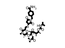 CC(C)NC(=O)O[C@@H](C)[C@@H](C)[C@@H]1O[C@@]1(C)[C@H](CC(=O)N(C)C)OC(=O)[C@H](C)N(C)C(=O)CCSC1CC(=O)N(CC2CCC(C(N)=O)CC2)C1=O